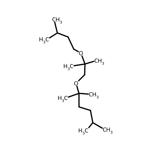 CC(C)CCOC(C)(C)COC(C)(C)CCC(C)C